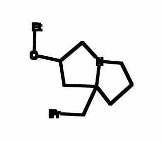 CCOC1CN2CCCC2(CC(C)C)C1